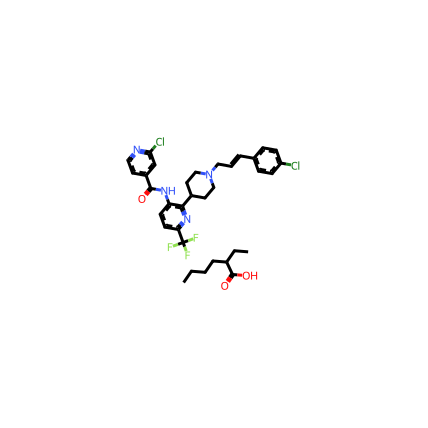 CCCCC(CC)C(=O)O.O=C(Nc1ccc(C(F)(F)F)nc1C1CCN(CC=Cc2ccc(Cl)cc2)CC1)c1ccnc(Cl)c1